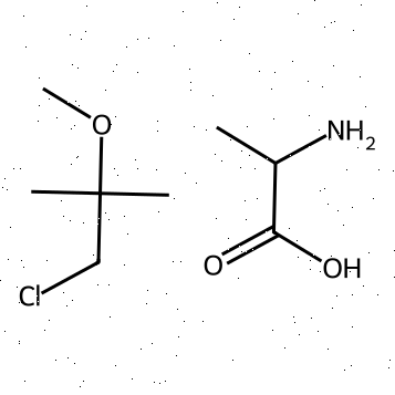 CC(N)C(=O)O.COC(C)(C)CCl